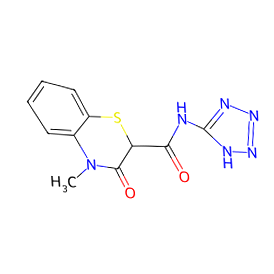 CN1C(=O)C(C(=O)Nc2nnn[nH]2)Sc2ccccc21